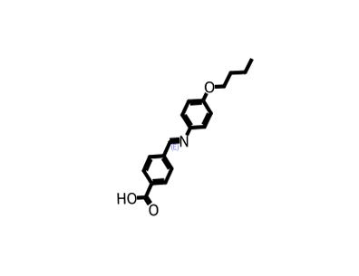 CCCCOc1ccc(/N=C/c2ccc(C(=O)O)cc2)cc1